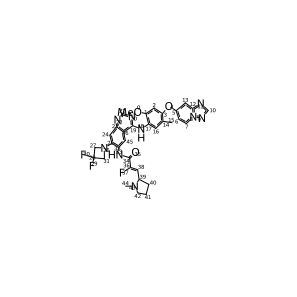 COc1cc(Oc2ccn3ncnc3c2)c(C)cc1Nc1ncnc2cc(N3CC(F)(F)C3)c(NC(=O)C(F)=CC3CCCN3C)cc12